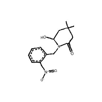 CC1(C)CC(=O)N(Cc2ccccc2[N+](=O)[O-])C(O)C1